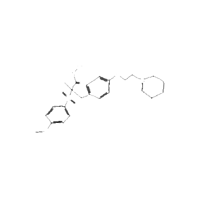 COc1ccc(S(=O)(=O)C(C)(Cc2ccc(OCCN3CCCCC3)cc2)C(=O)NO)cc1